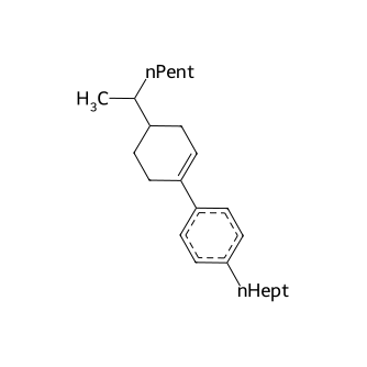 CCCCCCCc1ccc(C2=CCC(C(C)CCCCC)CC2)cc1